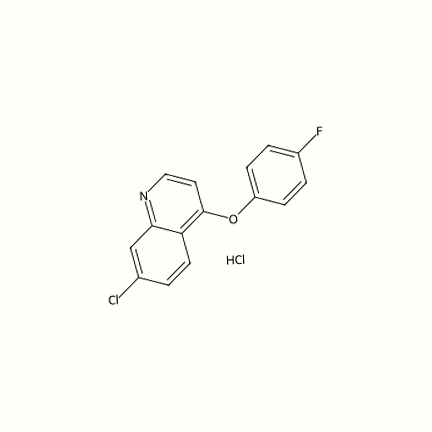 Cl.Fc1ccc(Oc2ccnc3cc(Cl)ccc23)cc1